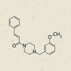 COc1cccc(CN2CCN(C(=O)C=Cc3ccccc3)CC2)c1